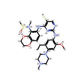 CCc1cc(Nc2ncc(F)c(Nc3ccc4c(c3N(C)[S+](C)[O-])OCCO4)n2)c(OC)cc1N1CCN(C)CC1